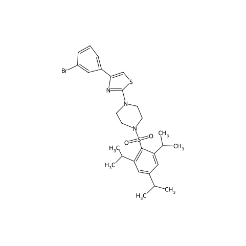 CC(C)c1cc(C(C)C)c(S(=O)(=O)N2CCN(c3nc(-c4cccc(Br)c4)cs3)CC2)c(C(C)C)c1